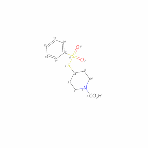 O=C(O)N1CCC(SS(=O)(=O)c2ccccc2)CC1